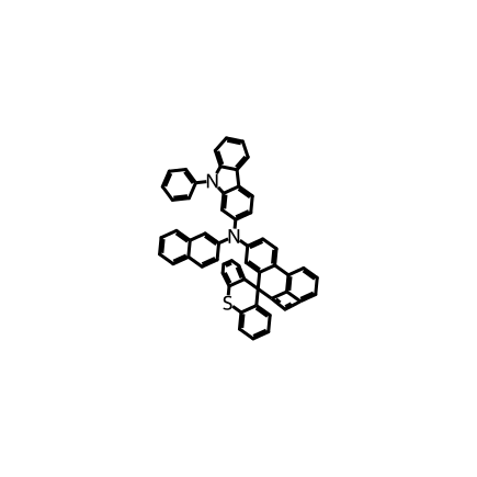 c1ccc(-n2c3ccccc3c3ccc(N(c4ccc5c(c4)C4(c6ccccc6Sc6ccccc64)c4cccc6cccc-5c46)c4ccc5ccccc5c4)cc32)cc1